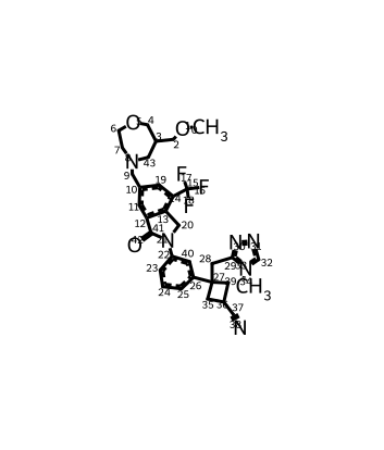 COCC1COCCN(Cc2cc3c(c(C(F)(F)F)c2)CN(c2cccc(C4(Cc5nncn5C)CC(C#N)C4)c2)C3=O)C1